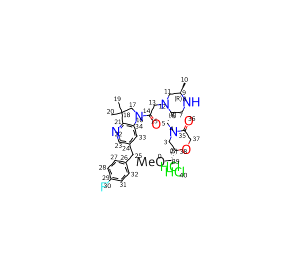 COC[C@@H]1CN(C[C@H]2CN[C@H](C)CN2CC(=O)N2CC(C)(C)c3ncc(Cc4ccc(F)cc4)cc32)C(=O)CO1.Cl.Cl